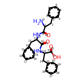 NC(Cc1ccccc1)C(=O)NC(Cc1ccccc1)C(=O)NC(Cc1ccccc1)C(=O)O